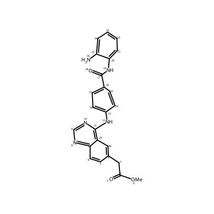 COC(=O)Cc1ccc2ncnc(Nc3ccc(C(=O)Nc4ccccc4N)cc3)c2c1